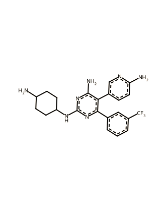 Nc1ccc(-c2c(N)nc(NC3CCC(N)CC3)nc2-c2cccc(C(F)(F)F)c2)cn1